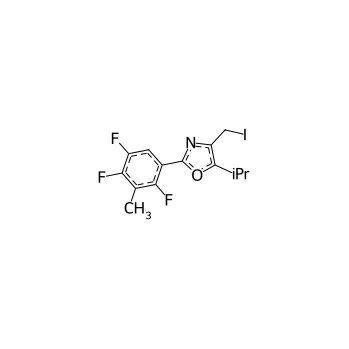 Cc1c(F)c(F)cc(-c2nc(CI)c(C(C)C)o2)c1F